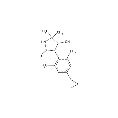 Cc1cc(C2CC2)cc(C)c1C1C(=O)NC(C)(C)C1O